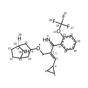 N=C(/C(=C/C1CC1)COC1CC2CC[C@@H](C1)N2)c1ccccc1OC(F)(F)F